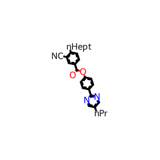 CCCCCCCc1ccc(C(=O)Oc2ccc(-c3ncc(CCC)cn3)cc2)cc1C#N